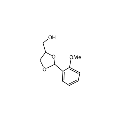 COc1ccccc1C1OCC(CO)O1